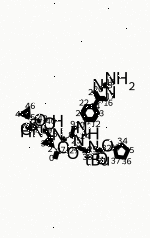 C=C[C@@H]1C[C@]1(NC(=O)[C@@H]1CN(c2ccc(-c3cnc(N)nc3)cc2)CN1C(=O)[C@@H](NC(=O)OC1CCCC1)C(C)(C)C)C(=O)NS(=O)(=O)C1CC1